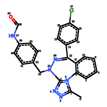 Cc1nnc2n1-c1ccccc1C(c1ccc(Cl)cc1)=NN2Cc1ccc(NC=O)cc1